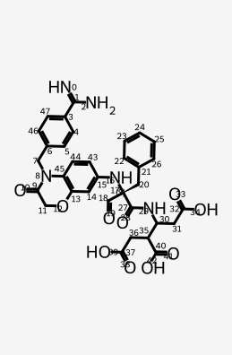 N=C(N)c1ccc(CN2C(=O)COc3cc(N[C@](C=O)(Cc4ccccc4)C(=O)NC(CC(=O)O)C(CC(=O)O)C(=O)O)ccc32)cc1